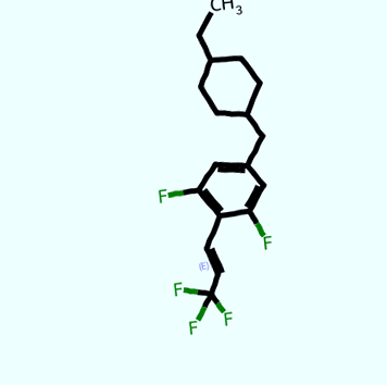 CCC1CCC(Cc2cc(F)c(/C=C/C(F)(F)F)c(F)c2)CC1